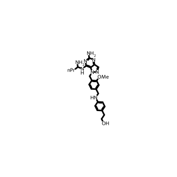 CCCC(N)Nc1nc(N)nc2cnn(Cc3ccc(CNc4ccc(CCO)cc4)cc3OC)c12